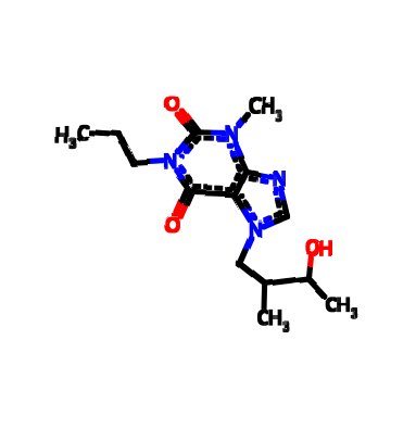 CCCn1c(=O)c2c(ncn2CC(C)C(C)O)n(C)c1=O